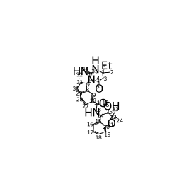 CC[C@]1(C)CC(=O)N([C@@H]2c3cc(C(=O)N[C@@H]4c5ccccc5OC(C)(C)[C@H]4O)ccc3C[C@@H]2C)C(=N)N1